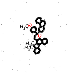 COc1ccc(C2(c3ccc4ccc5ccccc5c4c3)C=Cc3c4c(c5ccccc5c3O2)-c2ccccc2C4(C)C)cc1